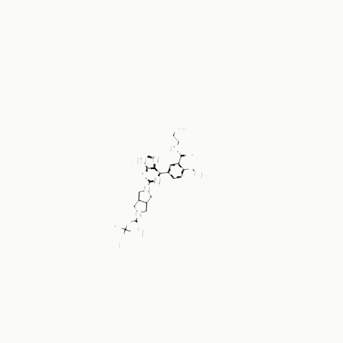 COc1ccc(-c2nc(N3CC4CN(C(=O)OC(C)(C)C)CC4C3)nc3[nH]cnc23)cc1C(=O)NCCO